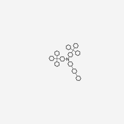 c1ccc(-c2ccc(-c3ccc(N(c4ccc(C(c5ccccc5)(c5ccccc5)c5ccccc5)cc4)c4ccc(C(c5ccccc5)(c5ccccc5)c5ccccc5)cc4)cc3)cc2)cc1